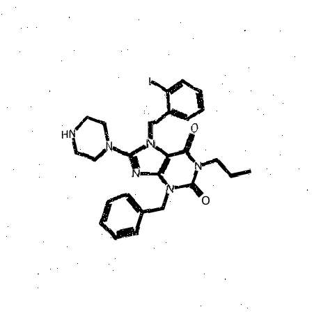 CCCn1c(=O)c2c(nc(N3CCNCC3)n2Cc2ccccc2I)n(Cc2ccccc2)c1=O